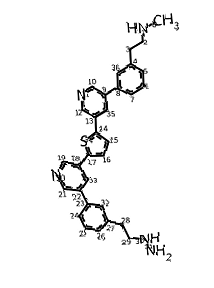 CNCCc1cccc(-c2cncc(-c3ccc(-c4cncc(-c5cccc(CCNN)c5)c4)s3)c2)c1